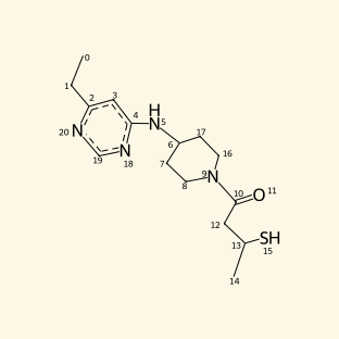 CCc1cc(NC2CCN(C(=O)CC(C)S)CC2)ncn1